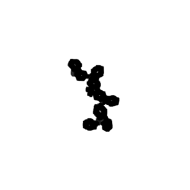 CC1(C)c2cc3c(cc2-c2cc4c5ccccc5n(-c5ccc6c(c5)c5ccccc5n6-c5ccccc5)c4cc21)c1ccccc1n3-c1ccc2oc3ccccc3c2c1